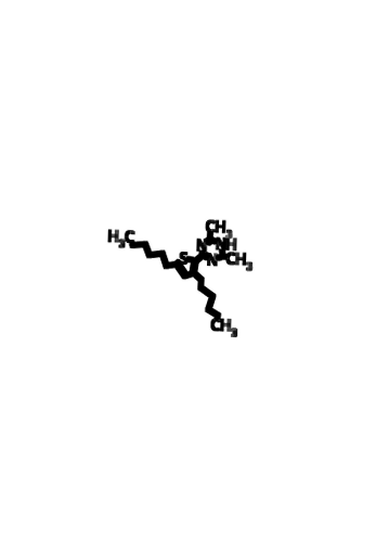 CCCCCCc1cc(CCCCCC)c(C2=NC(C)NC(C)=N2)s1